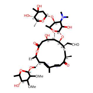 CCC1OC(=O)C[C@@H](O)[C@H](C)[C@@H](O[C@@H]2OC(C)[C@@H](O[C@H]3CC(C)(O)[C@@H](O)[C@@H](C)O3)C(N(C)C)C2O)[C@@H](CC=O)C[C@@H](C)C(=O)/C=C/C(C)=C/[C@@H]1CO[C@@H]1OC(C)[C@@H](O)C(OC)C1OC